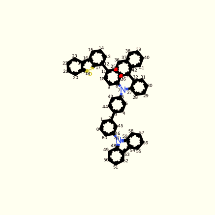 c1cc(-c2ccc(N(c3ccc(-c4cccc5c4sc4ccccc45)cc3)c3ccccc3-c3cccc4ccccc34)cc2)cc(-n2c3ccccc3c3ccccc32)c1